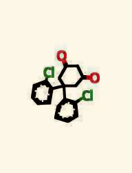 O=C1CC(=O)CC(c2ccccc2Cl)(c2ccccc2Cl)C1